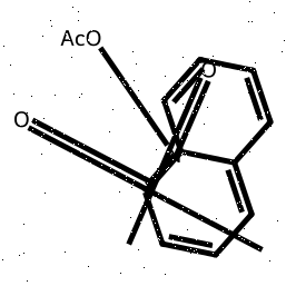 CC(=O)ON1C(=O)CC2C=CC=C3C=CC=CC32C1=O